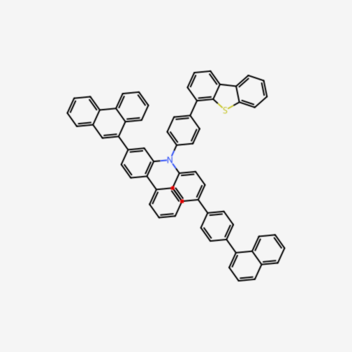 c1ccc(-c2ccc(-c3cc4ccccc4c4ccccc34)cc2N(c2ccc(-c3ccc(-c4cccc5ccccc45)cc3)cc2)c2ccc(-c3cccc4c3sc3ccccc34)cc2)cc1